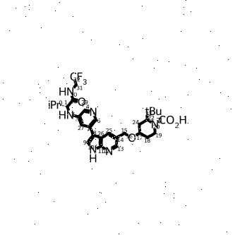 CC(C)[C@@H](Nc1cncc(-c2c[nH]c3ncc(COC4CCN(C(=O)O)C(C(C)(C)C)C4)cc23)c1)C(=O)NCC(F)(F)F